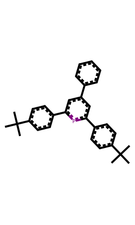 CC(C)(C)c1ccc(-c2cc(-c3ccccc3)cc(-c3ccc(C(C)(C)C)cc3)p2)cc1